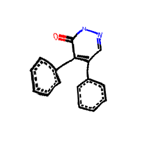 O=C1[N]N=CC(c2ccccc2)=C1c1ccccc1